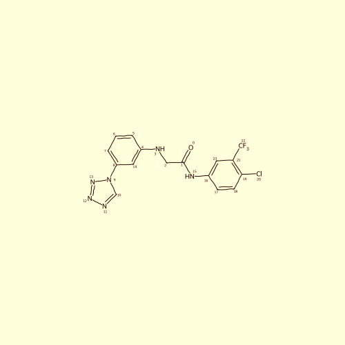 O=C(CNc1cccc(-n2cnnn2)c1)Nc1ccc(Cl)c(C(F)(F)F)c1